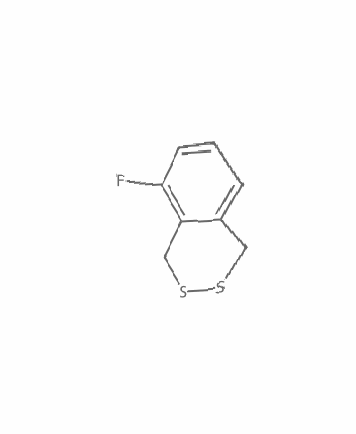 Fc1cccc2c1CSSC2